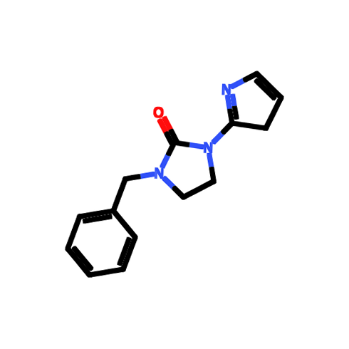 O=C1N(Cc2ccccc2)CCN1C1=NC=CC1